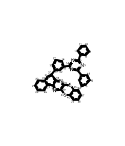 c1ccc(-c2nc(-c3ccccc3)nc(-c3cccc(-c4cc5ccccc5c5nc6c(nc45)Sc4ccccc4S6)c3)n2)cc1